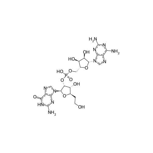 Nc1nc(N)c2ncn([C@@H]3O[C@H](COP(=O)(O)O[C@@H]4[C@H](O)[C@@H](CCO)O[C@H]4n4cnc5c(=O)[nH]c(N)nc54)[C@@H](O)[C@H]3O)c2n1